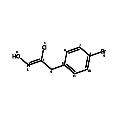 O/N=C(\Cl)Cc1ccc(Br)cc1